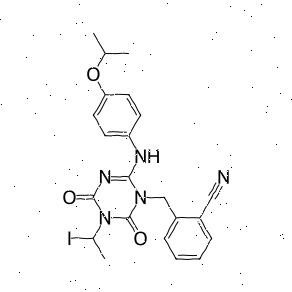 CC(C)Oc1ccc(Nc2nc(=O)n(C(C)I)c(=O)n2Cc2ccccc2C#N)cc1